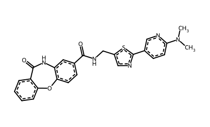 CN(C)c1ccc(-c2ncc(CNC(=O)c3ccc4c(c3)NC(=O)c3ccccc3O4)s2)cn1